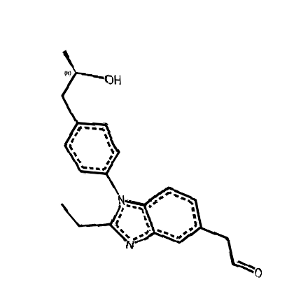 CCc1nc2cc(CC=O)ccc2n1-c1ccc(C[C@@H](C)O)cc1